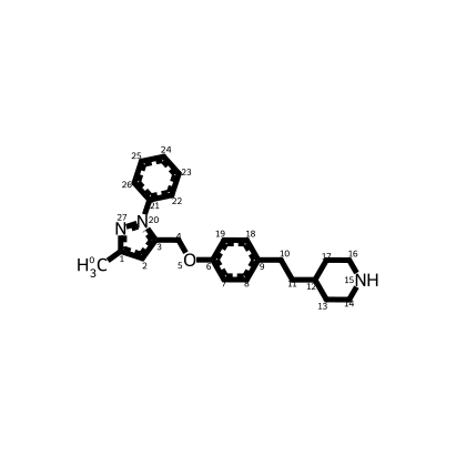 Cc1cc(COc2ccc(CCC3CCNCC3)cc2)n(-c2ccccc2)n1